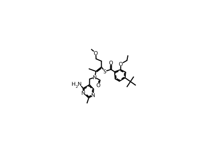 CCOc1cc(C(C)(C)C)ccc1C(=O)S/C(CCOC)=C(/C)N(C=O)Cc1cnc(C)nc1N